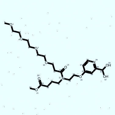 COCCOCCOCCOCCC(=O)N(CCCC(=O)OC)CCOc1ccnc(C(O)O)c1